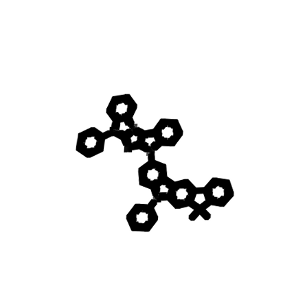 CC1(C)c2ccccc2-c2cc3c4cc(-n5c6ccccc6c6c5nc5n(-c7ccccc7)c7ccccc7n65)ccc4n(-c4ccccc4)c3cc21